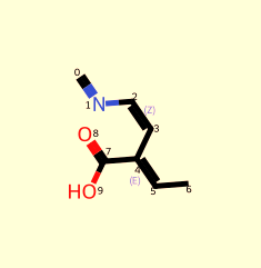 C=N/C=C\C(=C/C)C(=O)O